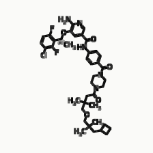 C[C@@H](Oc1cc(C(=O)Nc2ccc(C(=O)N3CCN(C(=O)CC(C)(C)COCC(C)(C)CC4CCC4)CC3)cc2)cnc1N)c1c(F)ccc(Cl)c1F